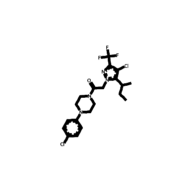 CCC(C)c1c(Cl)c(C(F)(F)F)nn1CC(=O)N1CCN(c2ccc(Cl)cc2)CC1